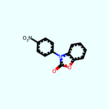 O=c1oc2ccccc2n1-c1ccc([N+](=O)[O-])cc1